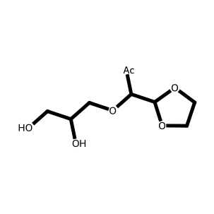 CC(=O)C(OCC(O)CO)C1OCCO1